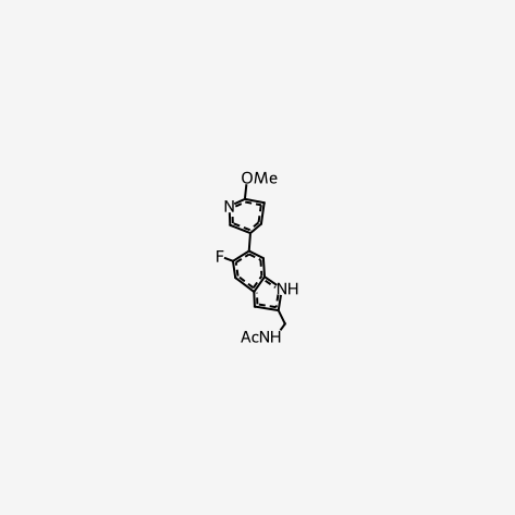 COc1ccc(-c2cc3[nH]c(CNC(C)=O)cc3cc2F)cn1